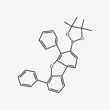 CC1(C)OB(c2ccc3c(oc4c(-c5ccccc5)cccc43)c2-c2ccccc2)OC1(C)C